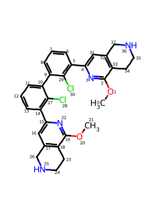 COc1nc(-c2cccc(-c3cccc(-c4cc5c(c(OC)n4)CCNC5)c3Cl)c2Cl)cc2c1CCNC2